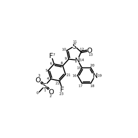 CS(=O)(=O)c1cc(F)c(-c2csc(=O)n2-c2cccnc2)cc1F